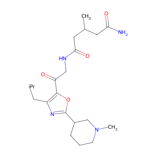 CC(C)Cc1nc(C2CCCN(C)C2)oc1C(=O)CNC(=O)CC(C)CC(N)=O